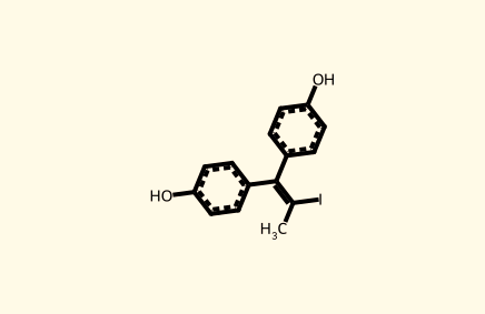 CC(I)=C(c1ccc(O)cc1)c1ccc(O)cc1